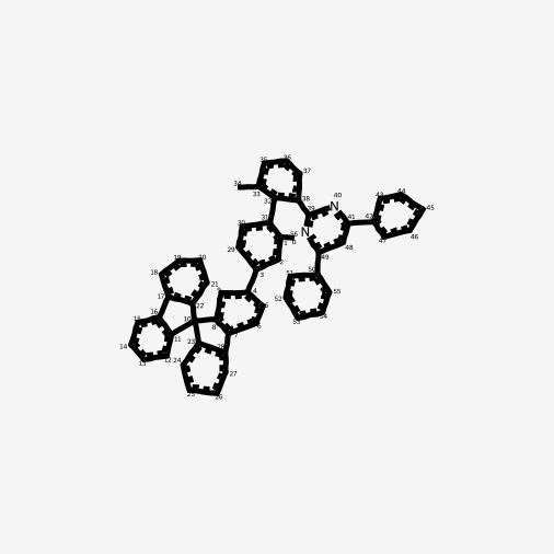 Cc1cc(-c2ccc3c(c2)C2(c4ccccc4-c4ccccc42)c2ccccc2-3)ccc1-c1c(C)cccc1-c1nc(-c2ccccc2)cc(-c2ccccc2)n1